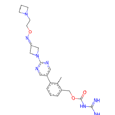 Cc1c(COC(=O)NC(=N)N)cccc1-c1cnc(N2CC(=NOCCN3CCC3)C2)nc1